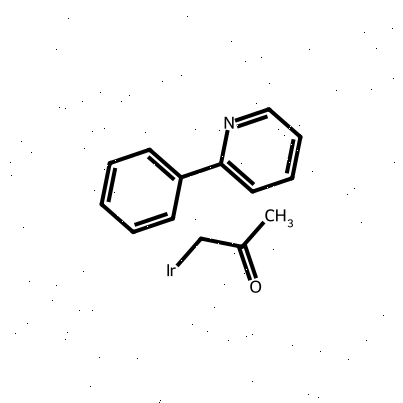 CC(=O)[CH2][Ir].c1ccc(-c2ccccn2)cc1